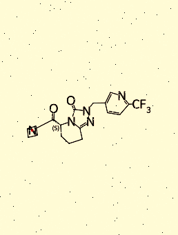 O=C([C@@H]1CCCc2nn(Cc3ccc(C(F)(F)F)nc3)c(=O)n21)N1CC2CC1C2